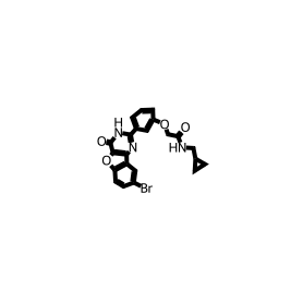 O=C(COc1cccc(-c2nc3c(oc4ccc(Br)cc43)c(=O)[nH]2)c1)NCC1CC1